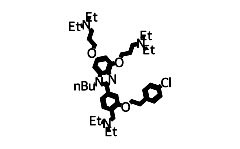 CCCCn1c(-c2ccc(CN(CC)CC)c(OCCc3ccc(Cl)cc3)c2)nc2c(OCCCN(CC)CC)cc(OCCCN(CC)CC)cc21